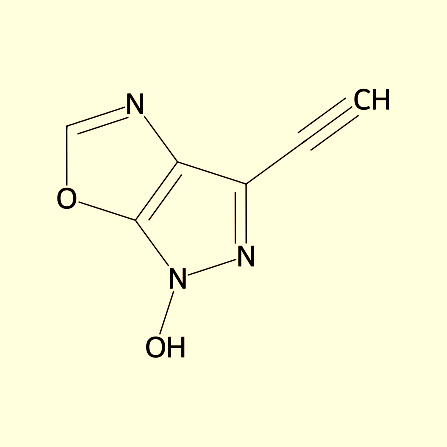 C#Cc1nn(O)c2ocnc12